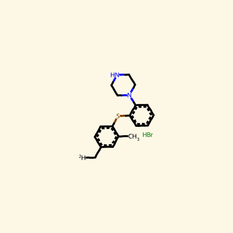 Br.[2H]Cc1ccc(Sc2ccccc2N2CCNCC2)c(C)c1